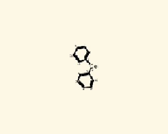 c1cc[c]([Ge][c]2ccccc2)cc1